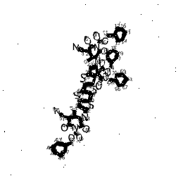 CC1=C(C#N)C(=O)N(C(=O)OCc2ccccc2)C(=O)/C1=N/C1=Cc2sc3c(sc4c5sc(/N=C6/C(=O)N(C(=O)OCc7ccccc7)C(=O)C(C#N)=C6C)cc5sc34)c2C1(C(=O)OCc1ccccc1)C(=O)OCc1ccccc1